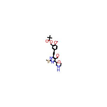 COc1ccc(C#Cc2nc(SC)nc(C3CNCCO3)c2C=O)cc1COC(=O)C(C)(C)C